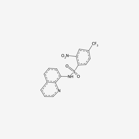 O=[N+]([O-])c1cc(C(F)(F)F)ccc1S(=O)(=O)Nc1cccc2cccnc12